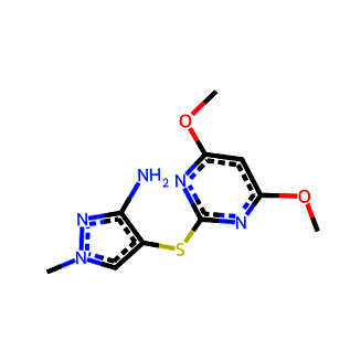 COc1cc(OC)nc(Sc2cn(C)nc2N)n1